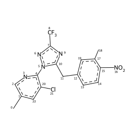 Cc1cnc(-n2nc(C(F)(F)F)nc2Cc2ccc([N+](=O)[O-])c(C)c2)c(Cl)c1